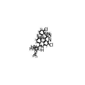 N#Cc1cnc2c(Cl)cc(NC(C3=CN(C4CC4)NN3)c3ccc(F)cc3)cc2c1Nc1cccc(Cl)c1C#N